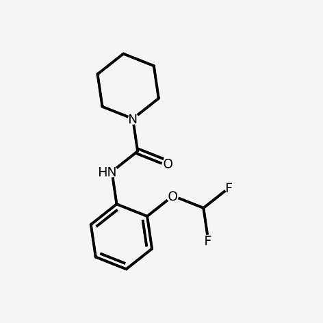 O=C(Nc1ccccc1OC(F)F)N1CCCCC1